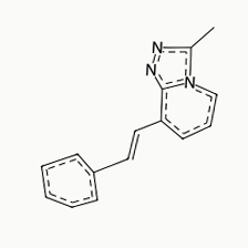 Cc1nnc2c(/C=C/c3ccccc3)cccn12